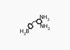 Bc1ccc(Cc2cc(N)cc(N)c2)cc1